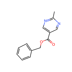 Cc1ncc(C(=O)OCc2ccccc2)cn1